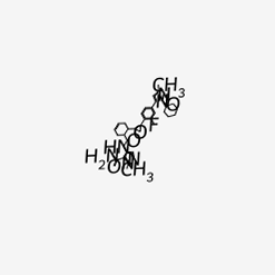 Cc1cc(-c2ccc(C3OC3C3CC=CCC3C(=O)Nc3cnn(C)c3C(N)=O)c(F)c2)n(C2CCCCO2)n1